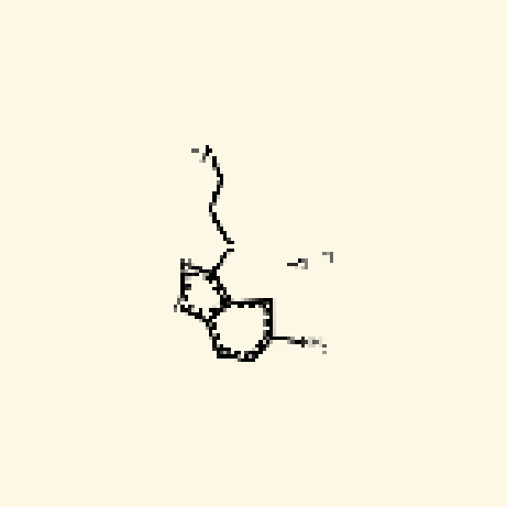 Cl.Cl.NCCOc1noc2ccc(N)cc12